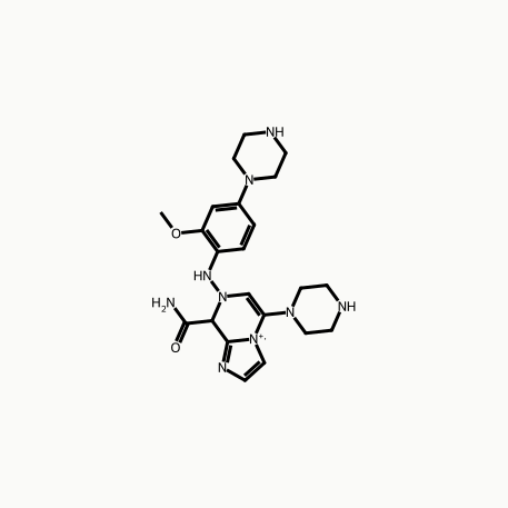 COc1cc(N2CCNCC2)ccc1NN1C=C(N2CCNCC2)[N+]2C=CN=C2C1C(N)=O